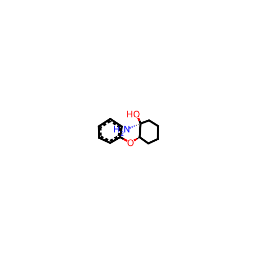 N[C@]1(O)CCCC[C@H]1Oc1ccccc1